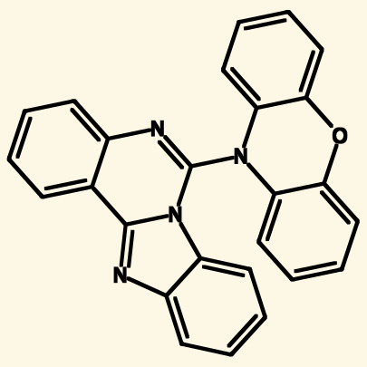 c1ccc2c(c1)Oc1ccccc1N2c1nc2ccccc2c2nc3ccccc3n12